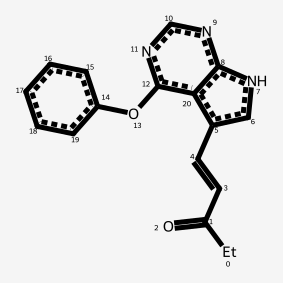 CCC(=O)/C=C/c1c[nH]c2ncnc(Oc3ccccc3)c12